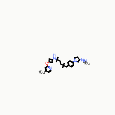 CC(C)(CCC(C)(C)N[C@H]1C[C@H](Oc2cc(C(C)(C)C)ccn2)C1)Cc1ccc(N2CC[C@@H](NC(C)(C)C)C2)cc1